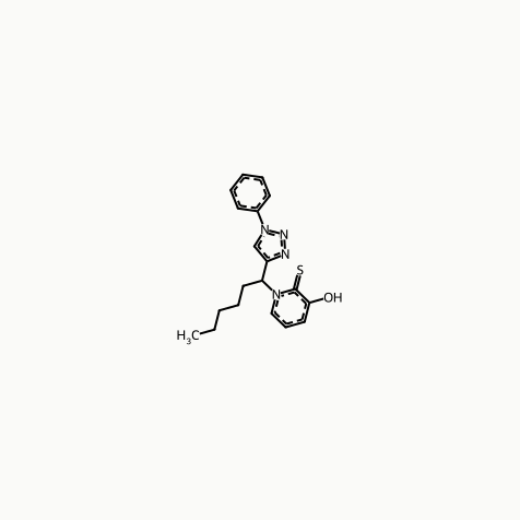 CCCCCC(c1cn(-c2ccccc2)nn1)n1cccc(O)c1=S